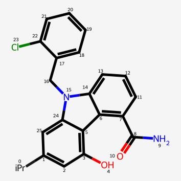 CC(C)c1cc(O)c2c3c(C(N)=O)cccc3n(Cc3ccccc3Cl)c2c1